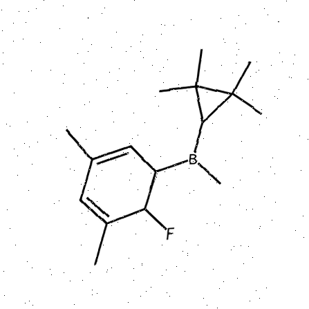 CB(C1C=C(C)C=C(C)C1F)C1C(C)(C)C1(C)C